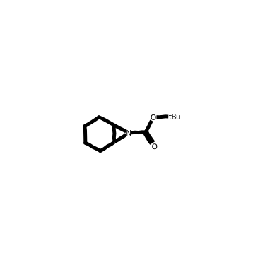 CC(C)(C)OC(=O)N1C2CCCCC21